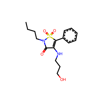 CCCCN1C(=O)C(NCCCO)=C(c2ccccc2)S1(=O)=O